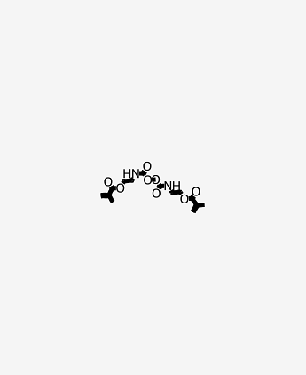 C=C(C)C(=O)OCCNC(=O)OOC(=O)NCCOC(=O)C(=C)C